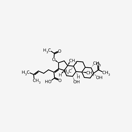 CC(=O)O[C@H]1C[C@@]2(C)[C@H](C[C@@H](O)[C@@H]3[C@@]4(C)CC[C@](O)(C(C)=O)[C@@H](C)C4CC[C@@]32C)C1=C(CCC=C(C)C)C(=O)O